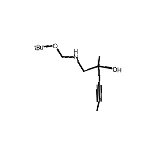 CC#CC(C)(O)CNCOC(C)(C)C